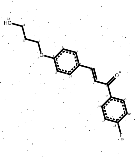 O=C(C=Cc1ccc(OCCCO)cc1)c1ccc(F)cc1